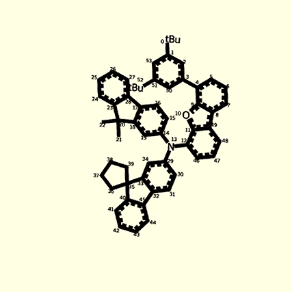 CC(C)(C)c1cc(-c2cccc3c2oc2c(N(c4ccc5c(c4)C(C)(C)c4ccccc4-5)c4ccc5c(c4)C4(CCCC4)c4ccccc4-5)cccc23)cc(C(C)(C)C)c1